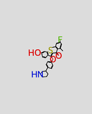 Cc1cc(F)cc(C)c1C(=O)c1sc2cc(O)ccc2c1Oc1ccc(C2CCCNC2)cc1